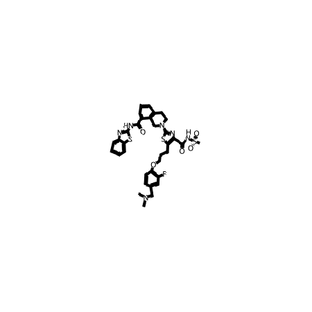 CN(C)Cc1ccc(OCCCc2sc(N3CCc4cccc(C(=O)Nc5nc6ccccc6s5)c4C3)nc2C(=O)NS(C)(=O)=O)c(F)c1